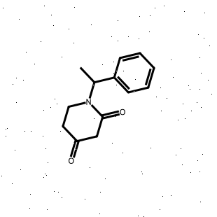 CC(c1ccccc1)N1CCC(=O)CC1=O